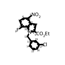 CCOC(=O)c1cc2c([N+](=O)[O-])ccc(F)c2n1Cc1cccc(Cl)c1